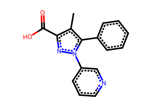 Cc1c(C(=O)O)nn(-c2cccnc2)c1-c1ccccc1